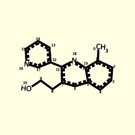 Cc1cccc2cc(CCO)c(-c3cccnc3)nc12